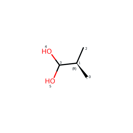 [CH2][C@H](C)C(O)O